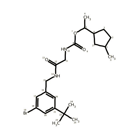 CC1CCC(C(C)OC(=O)NCC(=O)NCc2cc(Br)cc(C(C)(C)C)c2)C1